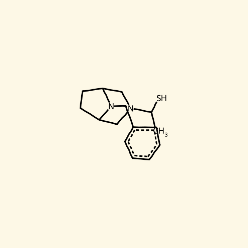 CC(S)N1CC2CCC(C1)N2Cc1ccccc1